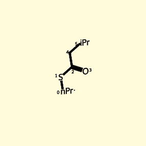 CC[CH]SC(=O)CC(C)C